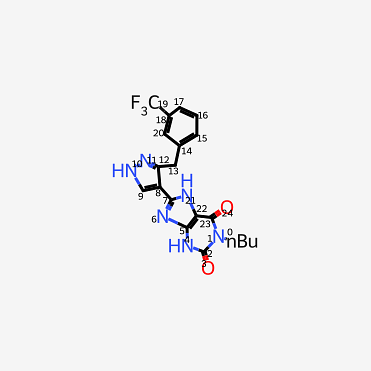 CCCCn1c(=O)[nH]c2nc(-c3c[nH]nc3Cc3cccc(C(F)(F)F)c3)[nH]c2c1=O